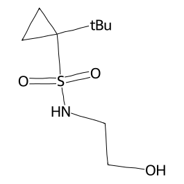 CC(C)(C)C1(S(=O)(=O)NCCO)CC1